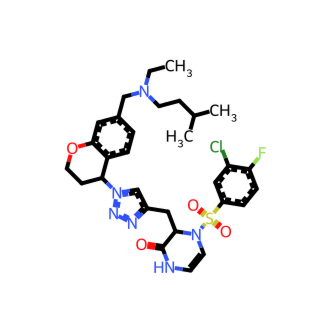 CCN(CCC(C)C)Cc1ccc2c(c1)OCCC2n1cc(CC2C(=O)NC=CN2S(=O)(=O)c2ccc(F)c(Cl)c2)nn1